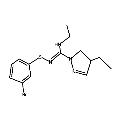 CCN/C(=N\Sc1cccc(Br)c1)N1CC(CC)C=N1